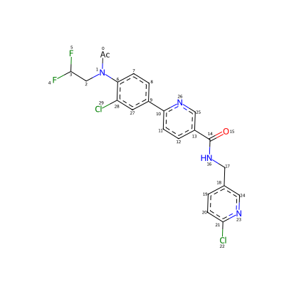 CC(=O)N(CC(F)F)c1ccc(-c2ccc(C(=O)NCc3ccc(Cl)nc3)cn2)cc1Cl